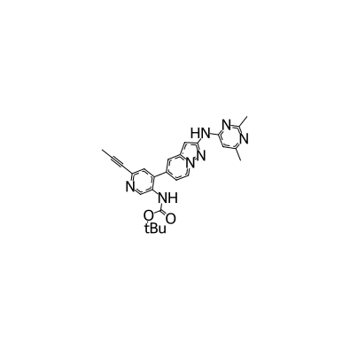 CC#Cc1cc(-c2ccn3nc(Nc4cc(C)nc(C)n4)cc3c2)c(NC(=O)OC(C)(C)C)cn1